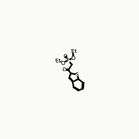 CCOP(=O)(CC(=O)C1C=C2C=CC=CC2S1)OCC